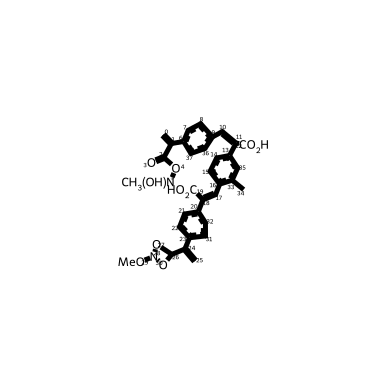 C=C(C(=O)ON(C)O)c1ccc(C=C(C(=O)O)c2ccc(C=C(C(=O)O)c3ccc(C(=C)C4ON(OC)O4)cc3)c(C)c2)cc1